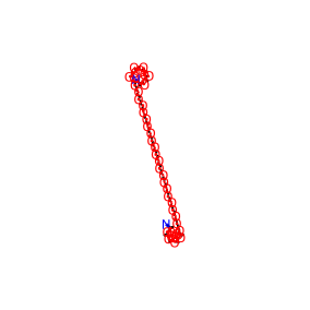 C=C(C#N)C(=O)OC(C)C(=O)OC(C)C(=O)OC(C)C(=O)OC(C)C(=O)OCCOCCOCCOCCOCCOCCOCCOCCOCCOCCOCCOCCOCCOCCOCCOCCOCCOCCOCCOCCOCCOCCOC(=O)C(C)OC(=O)C(C)OC(=O)C(C)OC(=O)C(C)OC(=O)C(=C)C#N